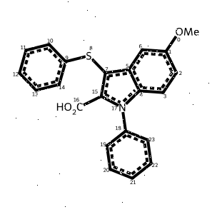 COc1ccc2c(c1)c(Sc1ccccc1)c(C(=O)O)n2-c1ccccc1